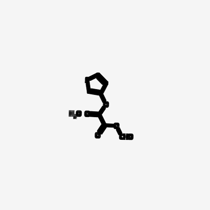 O.O=COC(=O)C(=O)Oc1ccsc1